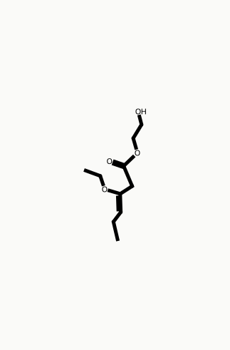 CCC=C(CC(=O)OCCO)OCC